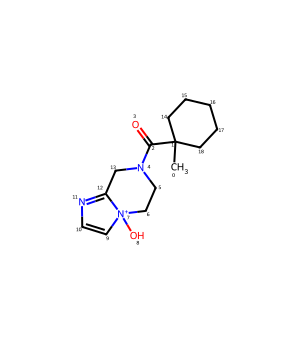 CC1(C(=O)N2CC[N+]3(O)C=CN=C3C2)CCCCC1